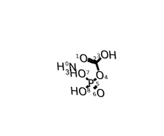 N.O=C(O)OP(=O)(O)O